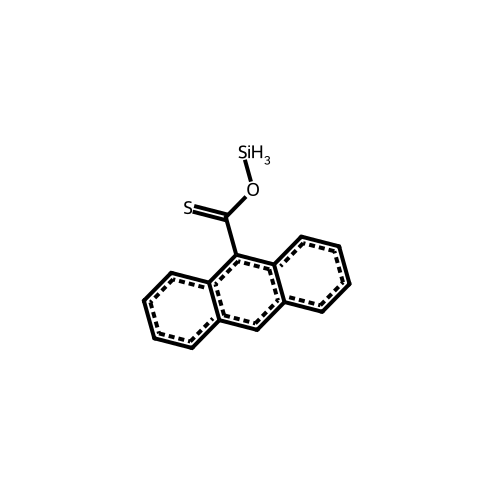 [SiH3]OC(=S)c1c2ccccc2cc2ccccc12